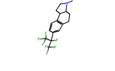 CN1CCC2c3ccc(C(F)(C(F)(F)F)C(F)(F)F)cc3CCC21